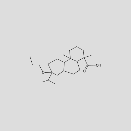 CCCOC1(C(C)C)CCC2C(CCC3C(C)(C(=O)O)CCCC23C)C1